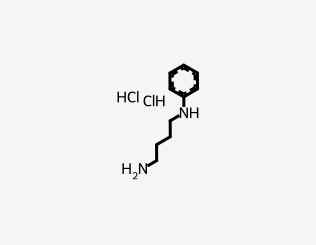 Cl.Cl.NCCCCNc1ccccc1